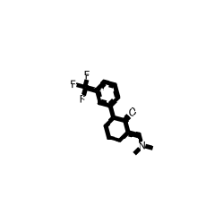 CN(C)C=C1CCCC(c2cccc(C(F)(F)F)c2)C1=O